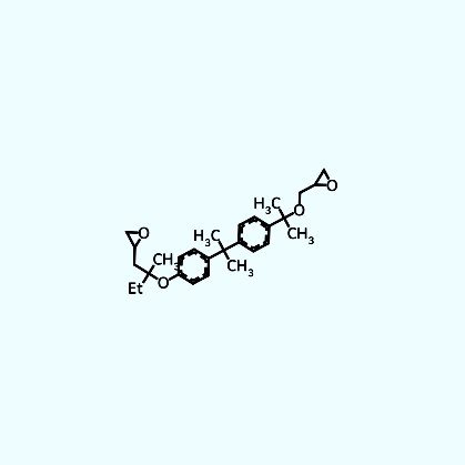 CCC(C)(CC1CO1)Oc1ccc(C(C)(C)c2ccc(C(C)(C)OCC3CO3)cc2)cc1